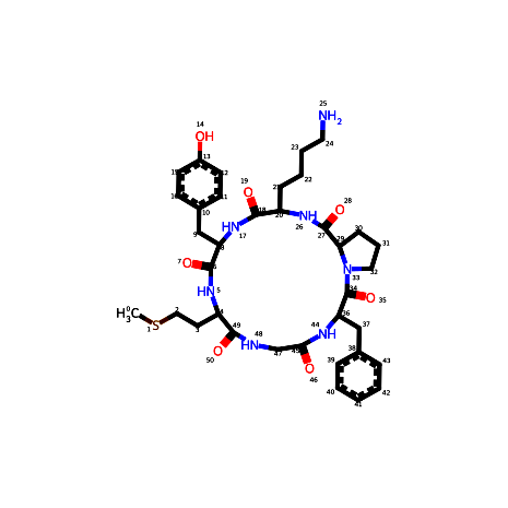 CSCCC1NC(=O)C(Cc2ccc(O)cc2)NC(=O)C(CCCCN)NC(=O)C2CCCN2C(=O)C(Cc2ccccc2)NC(=O)CNC1=O